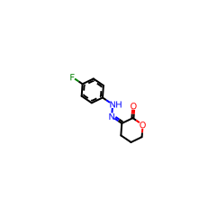 O=C1OCCCC1=NNc1ccc(F)cc1